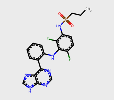 CCCS(=O)(=O)Nc1ccc(F)c(Nc2ccccc2-c2ncnc3[nH]cnc23)c1F